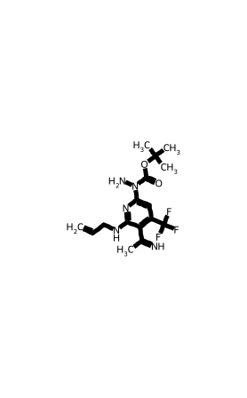 C=CCNc1nc(N(N)C(=O)OC(C)(C)C)cc(C(F)(F)F)c1C(C)=N